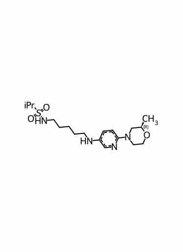 CC(C)S(=O)(=O)NCCCCCNc1ccc(N2CCO[C@H](C)C2)nc1